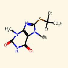 CCCCn1c(SC(CC)(CC)C(=O)O)nc2c1c(=O)[nH]c(=O)n2C